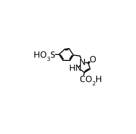 O=C(O)c1cc(=O)n(Cc2ccc(S(=O)(=O)O)cc2)[nH]1